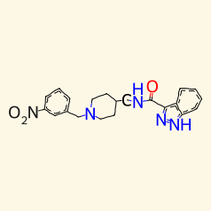 O=C(NCC1CCN(Cc2cccc([N+](=O)[O-])c2)CC1)c1n[nH]c2ccccc12